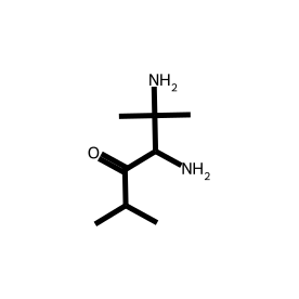 CC(C)C(=O)C(N)C(C)(C)N